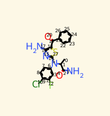 CC(C(N)=O)N(c1ccc(Cl)c(F)c1)c1nc(N)c(C(=O)c2ccccc2)s1